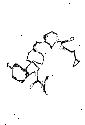 CN(C)C(=O)N1CC2(CCN(C[C@H]3CCN(C(=O)OCC4CC4)C3)CC2)c2cc(F)ccc21